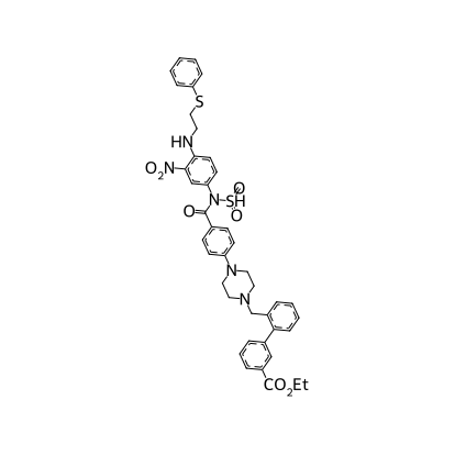 CCOC(=O)c1cccc(-c2ccccc2CN2CCN(c3ccc(C(=O)N(c4ccc(NCCSc5ccccc5)c([N+](=O)[O-])c4)[SH](=O)=O)cc3)CC2)c1